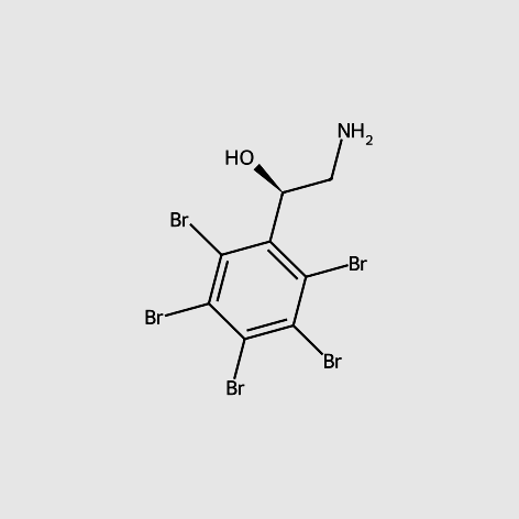 NC[C@H](O)c1c(Br)c(Br)c(Br)c(Br)c1Br